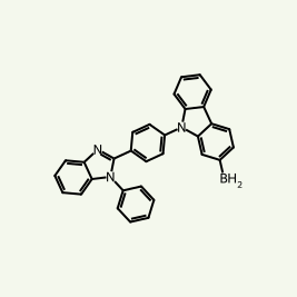 Bc1ccc2c3ccccc3n(-c3ccc(-c4nc5ccccc5n4-c4ccccc4)cc3)c2c1